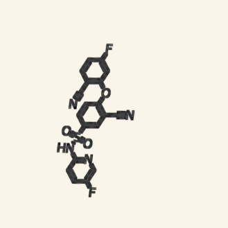 N#Cc1cc(S(=O)(=O)Nc2ccc(F)cn2)ccc1Oc1cc(F)ccc1C#N